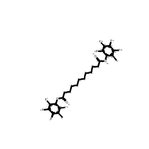 Cc1c(F)c(F)c(F)c(OC(=O)CCCCCCCCCCC(=O)Oc2c(C)c(F)c(F)c(F)c2F)c1F